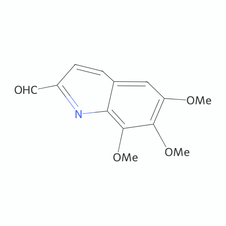 COc1cc2ccc(C=O)nc2c(OC)c1OC